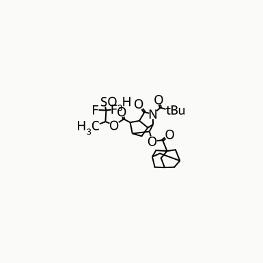 CC(OC(=O)C1C2CC3C1C(=O)N(C(=O)C(C)(C)C)C3C2OC(=O)C12CC3CC(CC(C3)C1)C2)C(F)(F)S(=O)(=O)O